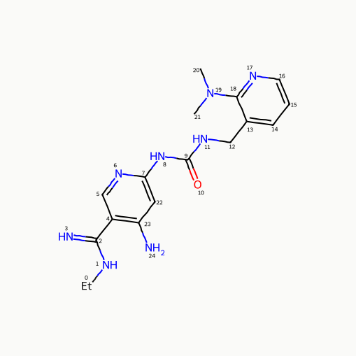 CCNC(=N)c1cnc(NC(=O)NCc2cccnc2N(C)C)cc1N